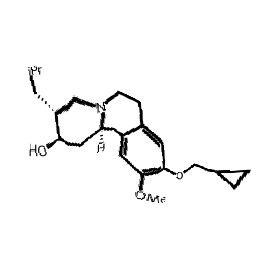 COc1cc2c(cc1OCC1CC1)CCN1C[C@@H](CC(C)C)[C@H](O)C[C@H]21